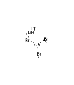 [Br][La]([Br])[Br].[LiH].[Tl]